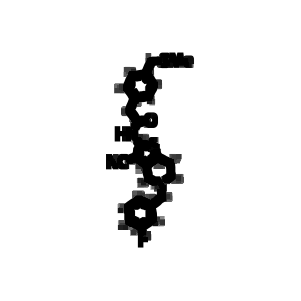 CSCc1ccc(CC(=O)Nc2sc3c(c2C#N)CN(Cc2cccc(F)c2)CC3)cc1